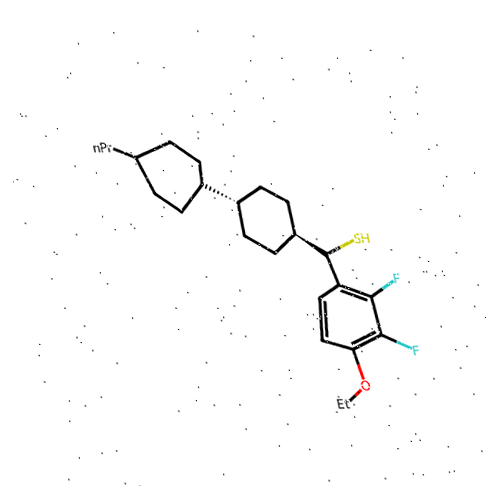 CCCC1CCC([C@H]2CC[C@H](C(S)c3ccc(OCC)c(F)c3F)CC2)CC1